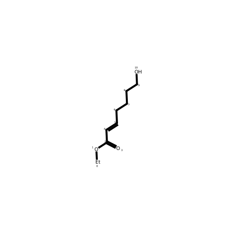 CCOC(=O)C=CCCCCO